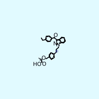 CCc1ccc(C(=O)c2nn(C/C=C/c3ccc(CO[C@H](C)C(=O)O)cc3)c3ccccc23)cc1